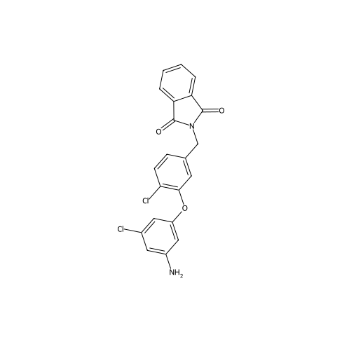 Nc1cc(Cl)cc(Oc2cc(CN3C(=O)c4ccccc4C3=O)ccc2Cl)c1